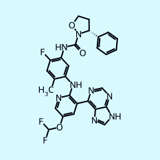 Cc1cc(F)c(NC(=O)N2OCC[C@@H]2c2ccccc2)cc1Nc1ncc(OC(F)F)cc1-c1ncnc2[nH]cnc12